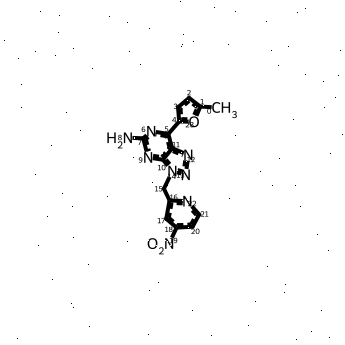 Cc1ccc(-c2nc(N)nc3c2nnn3Cc2cc([N+](=O)[O-])ccn2)o1